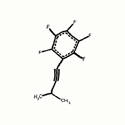 CC(C)C#Cc1c(F)c(F)c(F)c(F)c1F